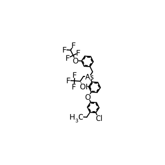 CCc1cc(Oc2cccc([As](Cc3cccc(OC(F)(F)C(F)F)c3)C[C@H](O)C(F)(F)F)c2)ccc1Cl